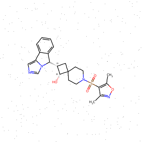 Cc1noc(C)c1S(=O)(=O)N1CCC2(CC1)C[C@@H](C1c3ccccc3-c3cncn31)[C@H]2O